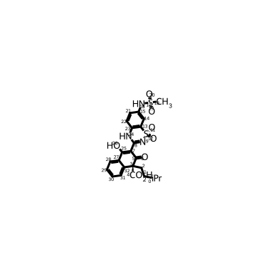 CC(C)CC[C@@]1(C(=O)O)C(=O)C(C2=NS(=O)(=O)c3cc(NS(C)(=O)=O)ccc3N2)=C(O)c2ccccc21